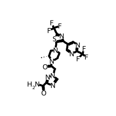 C[C@@H]1CN(c2sc(C(F)(F)F)nc2-c2cnc(C(F)(F)F)nc2)CCN1C(=O)Cn1cnc(C(N)=O)n1